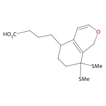 CSC1(SC)CCC(CCCC(=O)O)C2=C1COC=C2